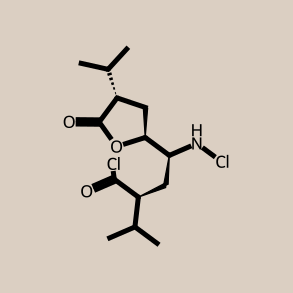 CC(C)[C@H](C[C@H](NCl)[C@@H]1C[C@@H](C(C)C)C(=O)O1)C(=O)Cl